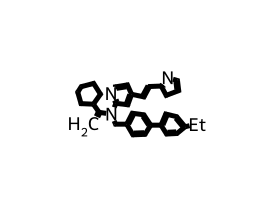 C=C(C1CCCCC1)N(Cc1ccc(-c2ccc(CC)cc2)cc1)c1cc(/C=C/C2=NC=CC2)ccn1